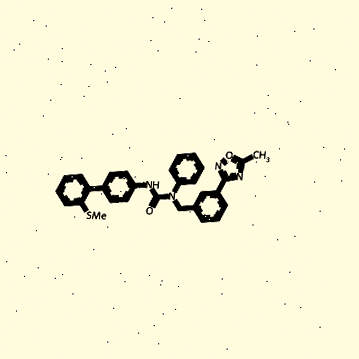 CSc1ccccc1-c1ccc(NC(=O)N(Cc2cccc(-c3noc(C)n3)c2)c2ccccc2)cc1